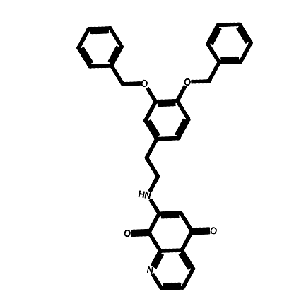 O=C1C=C(NCCc2ccc(OCc3ccccc3)c(OCc3ccccc3)c2)C(=O)c2ncccc21